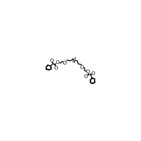 C[Si](C)(CCCOCCOC(=O)C(=O)c1ccccc1)CCCOCCOC(=O)C(=O)c1ccccc1